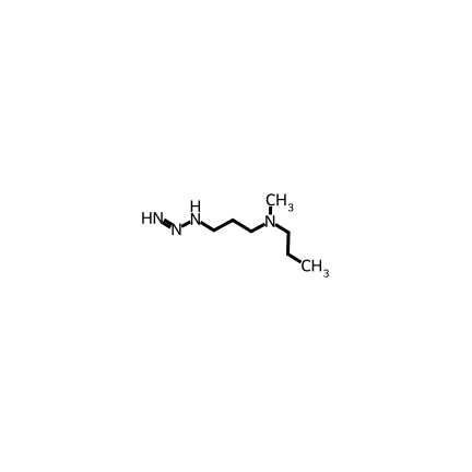 CCCN(C)CCCNN=N